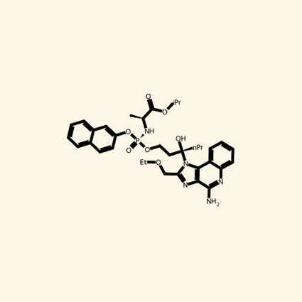 CCC[C@](O)(CCO[P@](=O)(N[C@@H](C)C(=O)OC(C)C)Oc1ccc2ccccc2c1)n1c(COCC)nc2c(N)nc3ccccc3c21